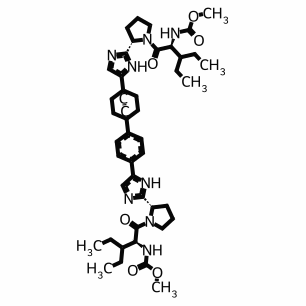 CCC(CC)[C@H](NC(=O)OC)C(=O)N1CCC[C@H]1c1ncc(-c2ccc(C34CCC(c5cnc([C@@H]6CCCN6C(=O)[C@@H](NC(=O)OC)C(CC)CC)[nH]5)(CC3)CC4)cc2)[nH]1